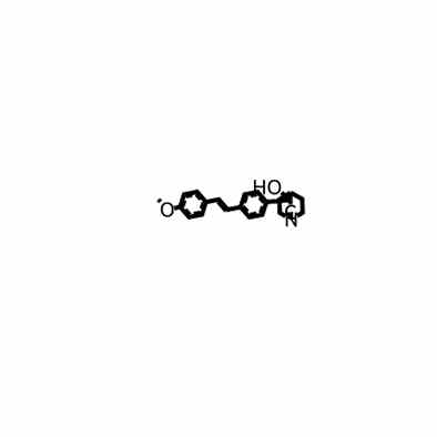 COc1ccc(C=Cc2ccc(C3(O)CN4CCC3CC4)cc2)cc1